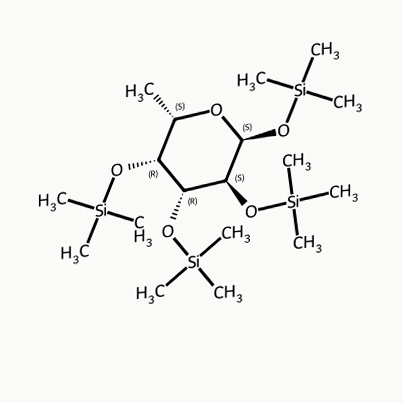 C[C@@H]1O[C@@H](O[Si](C)(C)C)[C@@H](O[Si](C)(C)C)[C@H](O[Si](C)(C)C)[C@@H]1O[Si](C)(C)C